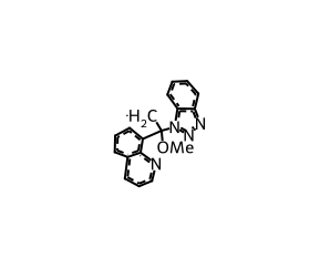 [CH2]C(OC)(c1cccc2cccnc12)n1nnc2ccccc21